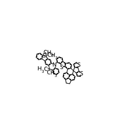 CC1(C)c2ccccc2N(c2cccc3c2sc2c4c(ccc23)C2(c3ccsc3-c3sccc32)c2ccc3c5c(ccc-4c25)CC3)c2cc3c(cc21)-c1ccccc1[Si]3(C)C